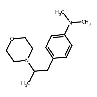 CC(Cc1ccc(N(C)C)cc1)N1CCOCC1